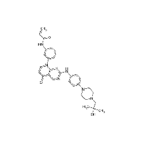 C=CC(=O)Nc1cccc(-n2ccc(=O)c3cnc(Nc4ccc(N5CCN(CC(C)(C)O)CC5)cc4)nc32)c1